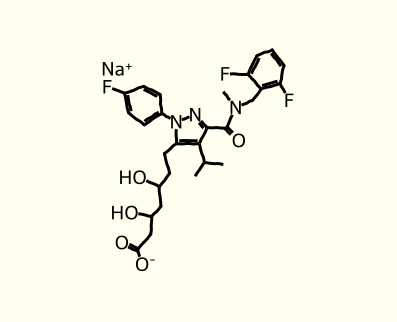 CC(C)c1c(C(=O)N(C)Cc2c(F)cccc2F)nn(-c2ccc(F)cc2)c1CCC(O)CC(O)CC(=O)[O-].[Na+]